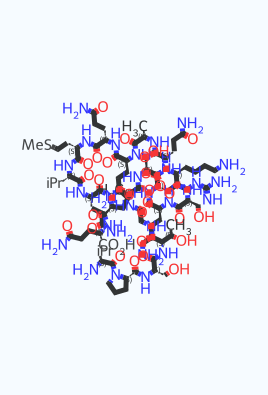 CSCC[C@H](NC(=O)[C@H](CCC(N)=O)NC(=O)[C@H](CCC(N)=O)NC(=O)[C@H](C)NC(=O)[C@H](CCC(N)=O)NC(=O)[C@H](CCCNC(=N)N)NC(=O)[C@H](CCCCN)NC(=O)[C@H](CO)NC(=O)[C@H](CCCCN)NC(=O)[C@H](CO)NC(=O)[C@H](C)NC(=O)CNC(=O)[C@@H](NC(=O)[C@H](CO)NC(=O)[C@@H]1CCCN1C(=O)[C@@H](N)C(C)C)[C@@H](C)O)C(=O)N[C@H](C(=O)N[C@@H](CCC(N)=O)C(=O)N1CCC[C@H]1C(=O)N[C@@H](CCC(N)=O)C(=O)O)C(C)C